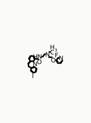 CCN(CCNC(=O)c1cccc2c1=Nc1ccc(I)cc1CC=2)CCOc1cccnc1F